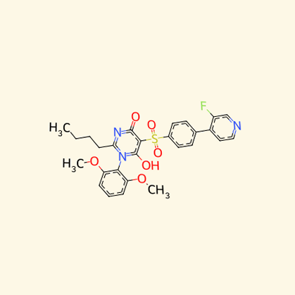 CCCCc1nc(=O)c(S(=O)(=O)c2ccc(-c3ccncc3F)cc2)c(O)n1-c1c(OC)cccc1OC